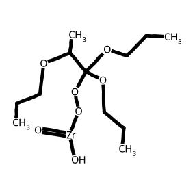 CCCOC(C)C(OCCC)(OCCC)O[O][Zr](=[O])[OH]